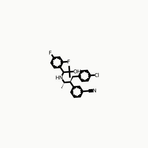 C[C@H](NC(c1ccc(F)cc1F)C(C)(C)O)[C@@H](Cc1ccc(Cl)cc1)c1cccc(C#N)c1